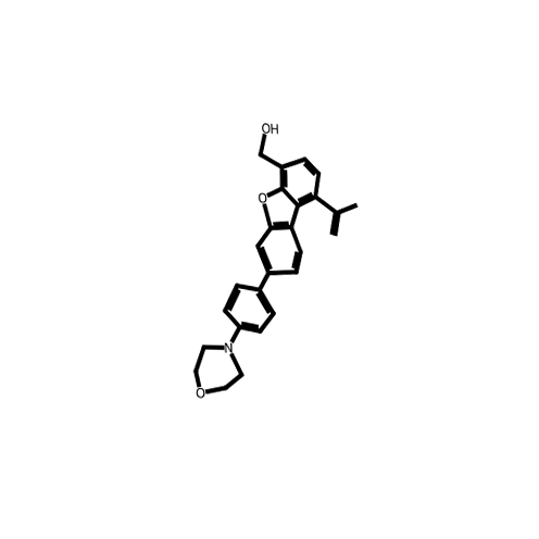 C=C(C)c1ccc(CO)c2oc3cc(-c4ccc(N5CCOCC5)cc4)ccc3c12